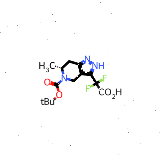 C[C@@H]1Cc2n[nH]c(C(F)(F)C(=O)O)c2CN1C(=O)OC(C)(C)C